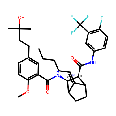 CCCC/C=C1\C2CCC1[C@H](C(=O)Nc1ccc(F)c(C(F)(F)F)c1)[C@@H]2NC(=O)c1cc(CCC(C)(C)O)ccc1OC